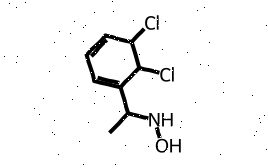 CC(NO)C1=CC=CC(Cl)C1Cl